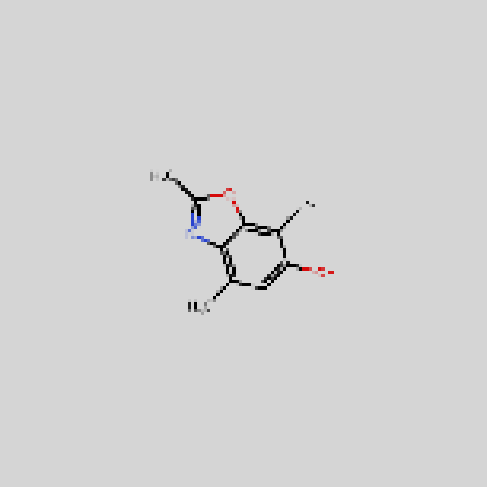 Cc1nc2c(C)cc(O)c(C(C)C)c2o1